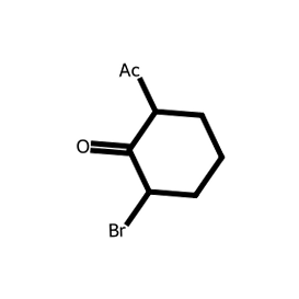 CC(=O)C1CCCC(Br)C1=O